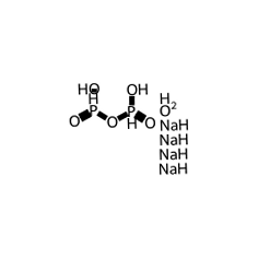 O.O=[PH](O)O[PH](=O)O.[NaH].[NaH].[NaH].[NaH]